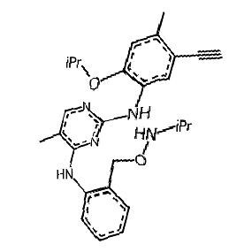 C#Cc1cc(Nc2ncc(C)c(Nc3ccccc3CONC(C)C)n2)c(OC(C)C)cc1C